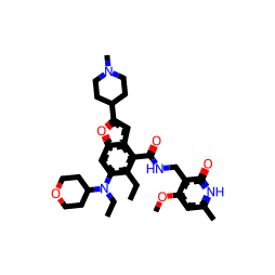 CCc1c(N(CC)C2CCOCC2)cc2oc(C3CCN(C)CC3)cc2c1C(=O)NCc1c(OC)cc(C)[nH]c1=O